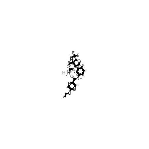 CCOc1cnc(C(=O)Nc2ccc(F)c([C@]34CO[C@H](C(F)(F)F)[C@H]3COC(N)=N4)c2)cn1